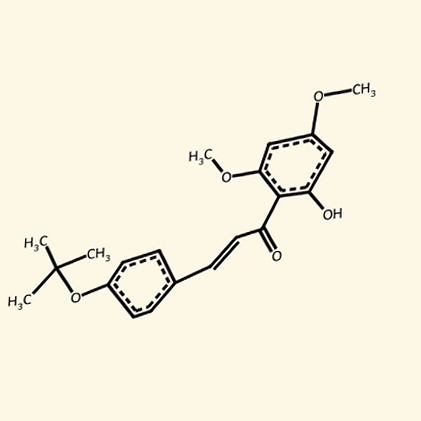 COc1cc(O)c(C(=O)C=Cc2ccc(OC(C)(C)C)cc2)c(OC)c1